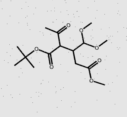 COC(=O)CC(C(OC)OC)C(C(C)=O)C(=O)OC(C)(C)C